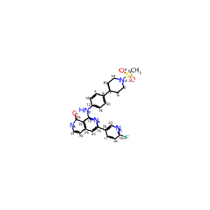 CS(=O)(=O)N1CCC(c2ccc(Nc3nc(-c4ccc(F)nc4)cc4c3C(=O)[N]C=C4)cc2)CC1